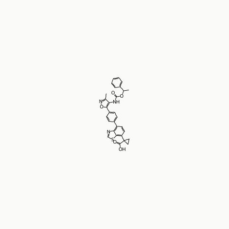 Cc1noc(-c2ccc(-c3ccc(C4(C(=O)O)CC4)c4scnc34)cc2)c1NC(=O)OC(C)c1ccccc1